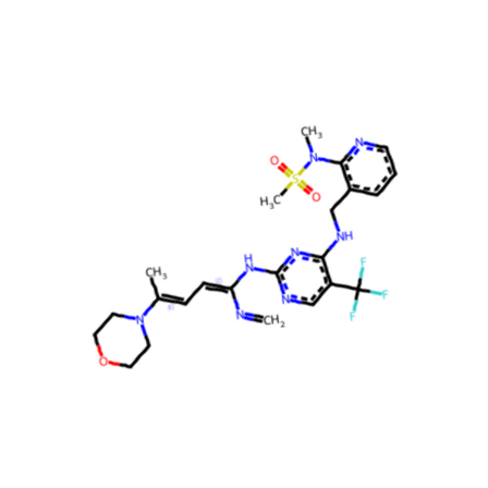 C=N/C(=C\C=C(/C)N1CCOCC1)Nc1ncc(C(F)(F)F)c(NCc2cccnc2N(C)S(C)(=O)=O)n1